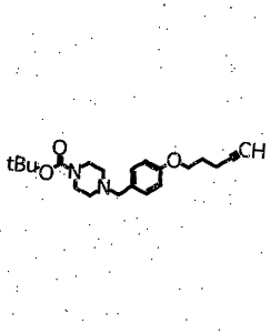 C#CCCCOc1ccc(CN2CCN(C(=O)OC(C)(C)C)CC2)cc1